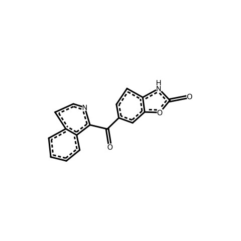 O=C(c1ccc2[nH]c(=O)oc2c1)c1nccc2ccccc12